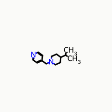 CC(C)C1CCN(Cc2ccncc2)CC1